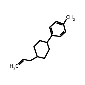 C=CCC1CCC(c2ccc(C)cc2)CC1